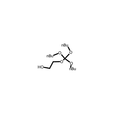 CCCCOC(OCCO)(OCCCC)OCCCC